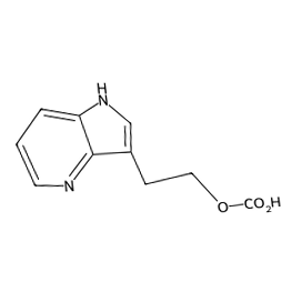 O=C(O)OCCc1c[nH]c2cccnc12